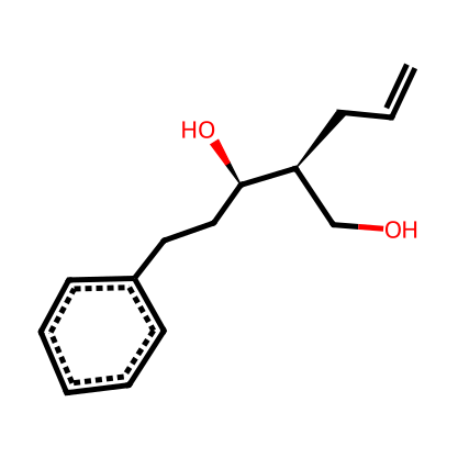 C=CC[C@@H](CO)[C@H](O)CCc1ccccc1